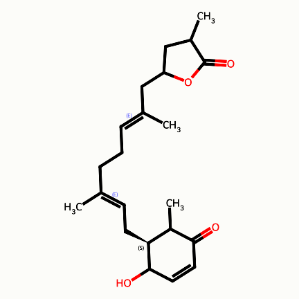 C/C(=C\C[C@@H]1C(O)C=CC(=O)C1C)CC/C=C(\C)CC1CC(C)C(=O)O1